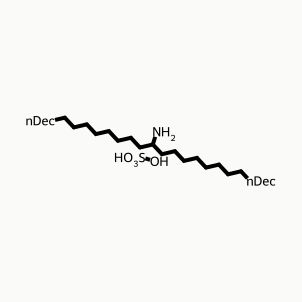 CCCCCCCCCCCCCCCCCCC(N)CCCCCCCCCCCCCCCCCC.O=S(=O)(O)O